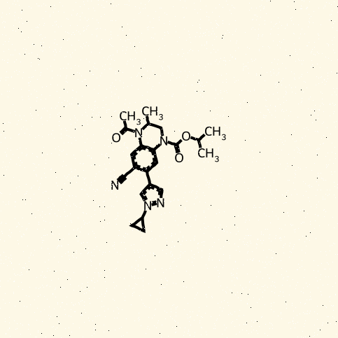 CC(=O)N1c2cc(C#N)c(-c3cnn(C4CC4)c3)cc2N(C(=O)OC(C)C)CC1C